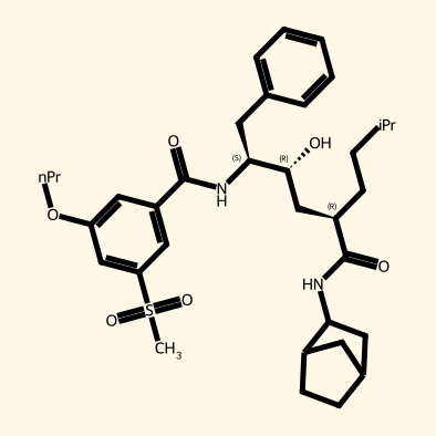 CCCOc1cc(C(=O)N[C@@H](Cc2ccccc2)[C@H](O)C[C@@H](CCC(C)C)C(=O)NC2CC3CCC2C3)cc(S(C)(=O)=O)c1